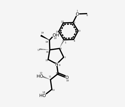 COc1ccc([C@@H]2CN(C(=O)[C@@H](O)CO)C[C@@]2(C)[C@@H](C)O)cc1